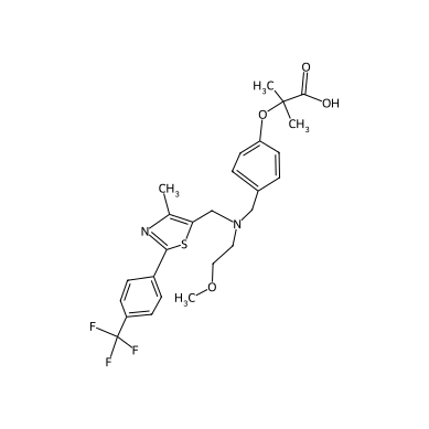 COCCN(Cc1ccc(OC(C)(C)C(=O)O)cc1)Cc1sc(-c2ccc(C(F)(F)F)cc2)nc1C